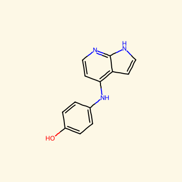 Oc1ccc(Nc2ccnc3[nH]ccc23)cc1